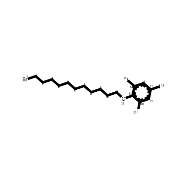 BrCCCCCCCCCCCOc1c(I)cc(I)cc1I